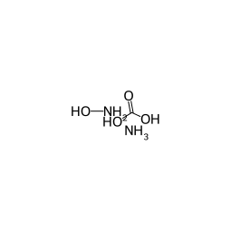 N.NO.O=C(O)O